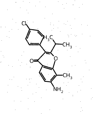 Cc1c(N)ccc2c(=O)c(-c3ccc(Cl)cc3)c(C(C)C)oc12